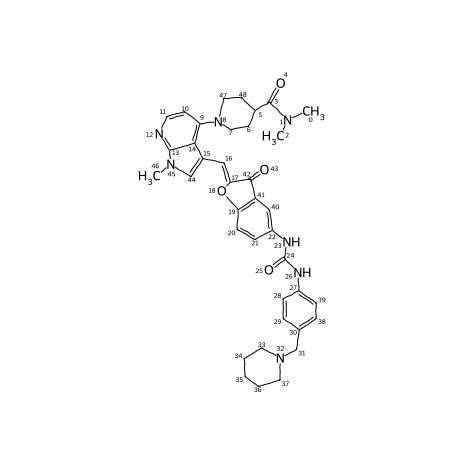 CN(C)C(=O)C1CCN(c2ccnc3c2c(C=C2Oc4ccc(NC(=O)Nc5ccc(CN6CCCCC6)cc5)cc4C2=O)cn3C)CC1